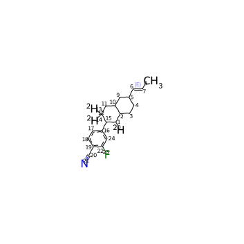 [2H]C1C2CCC(/C=C/C)CC2CC([2H])([2H])C1c1ccc(C#N)c(F)c1